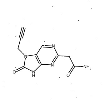 C#CCn1c(=O)[nH]c2nc(CC(N)=O)ncc21